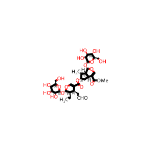 C=C[C@H]1[C@H](O[C@@H]2O[C@H](CO)[C@@H](O)[C@H](O)[C@H]2O)OC=C(C(=O)O[C@H]2C[C@@H]3C(C(=O)OC)=CO[C@@H](O[C@@H]4O[C@H](CO)[C@@H](O)[C@H](O)[C@H]4O)[C@@H]3[C@H]2C)[C@H]1CC=O